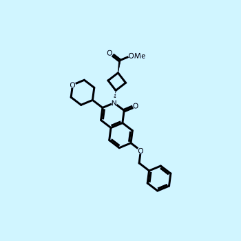 COC(=O)[C@H]1C[C@H](n2c(C3CCOCC3)cc3ccc(OCc4ccccc4)cc3c2=O)C1